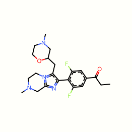 CCC(=O)c1cc(F)c(-c2nc3n(c2CC2CN(C)CCO2)CCN(C)C3)c(F)c1